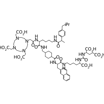 CC(C)Cc1ccc(C(C)C(=O)NCCCCC(NC(=O)CN2CCN(CC(=O)O)CCN(CC(=O)O)CCN(CC(=O)O)CC2)C(=O)NCC2CCC(C(=O)NC(Cc3ccc4ccccc4c3)C(=O)NCCCCC(NC(=O)NC(CCC(=O)O)C(=O)O)C(=O)O)CC2)cc1